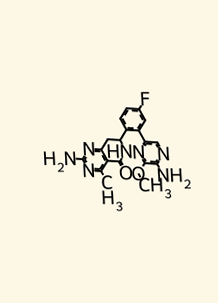 COc1nc(-c2cc(F)ccc2C2Cc3nc(N)nc(C)c3C(=O)N2)cnc1N